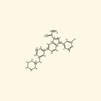 Cc1cncc(-n2nc(C(N)=O)c3cc(-c4cncc(CN5CCCCC5)c4)ccc32)c1